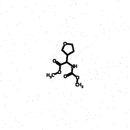 COC(=O)NC(C(=O)OC)C1CCOC1